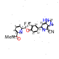 CNC(=O)c1cccc(COc2ccc(-c3cc4[nH]cnc4c(C#N)n3)cc2C(F)(F)F)n1